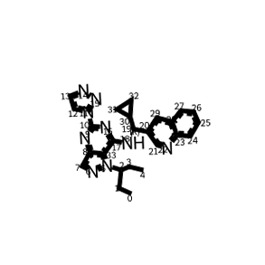 CCC(CC)n1ncc2nc(-n3ccnn3)nc(N[C@@H](c3cnc4ccccc4c3)C3CC3)c21